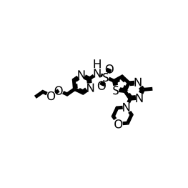 CCOOCc1cnc(NS(=O)(=O)c2cc3nc(C)nc(N4CCOCC4)c3s2)nc1